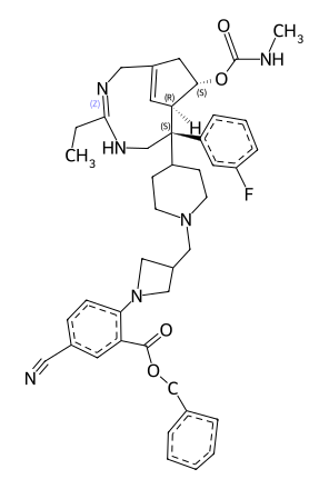 CC/C1=N/CC2=C[C@@H]([C@@H](OC(=O)NC)C2)[C@](c2cccc(F)c2)(C2CCN(CC3CN(c4ccc(C#N)cc4C(=O)OCc4ccccc4)C3)CC2)CN1